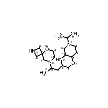 CC(C)N1CCC2OCC(CC(C)N3CCOC4(CNC4)C3)NC2C1